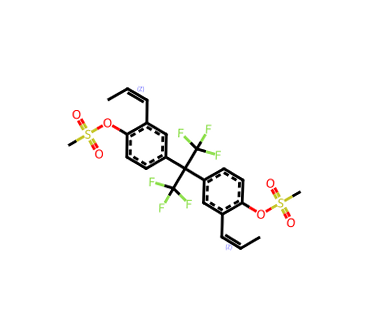 C/C=C\c1cc(C(c2ccc(OS(C)(=O)=O)c(/C=C\C)c2)(C(F)(F)F)C(F)(F)F)ccc1OS(C)(=O)=O